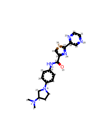 CN(C)C1CCN(c2ccc(NC(=O)c3csc(-c4cnccn4)n3)cc2)C1